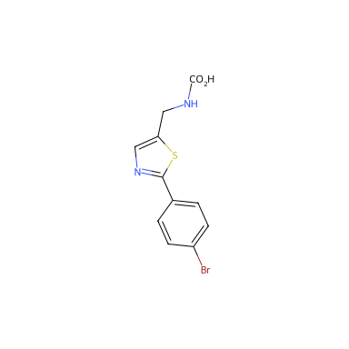 O=C(O)NCc1cnc(-c2ccc(Br)cc2)s1